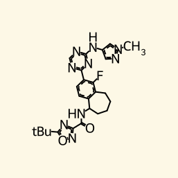 Cn1cc(Nc2ncnc(-c3ccc4c(c3F)CCCCC4NC(=O)c3noc(C(C)(C)C)n3)n2)cn1